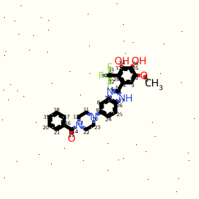 COc1cc(-c2nc3cc(N4CCN(C(=O)c5ccccc5)CC4)ccc3[nH]2)c(C(F)(F)F)c(O)c1O